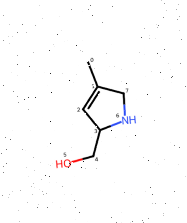 CC1=CC(CO)NC1